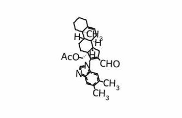 CC(=O)OC[C@]12CC[C@H]3[C@@H](CC=C4CCCC[C@@]43C)[C@@H]1CC(C=O)=C2n1cnc2cc(C)c(C)cc21